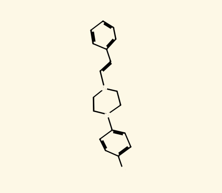 Oc1ccc(N2CCN(C=Cc3ccccc3)CC2)cc1